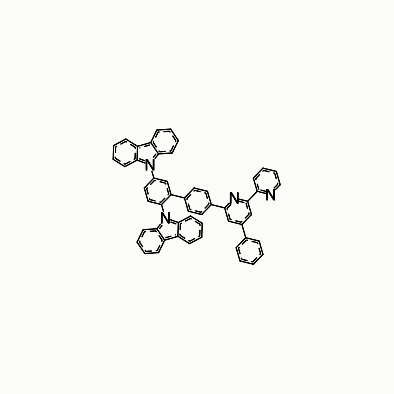 c1ccc(-c2cc(-c3ccc(-c4cc(-n5c6ccccc6c6ccccc65)ccc4-n4c5ccccc5c5ccccc54)cc3)nc(-c3ccccn3)c2)cc1